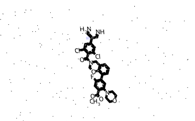 COC(=O)c1cc(F)c(-c2cccc3c2OCN(C(=O)c2c(Cl)cc(/C(C=N)=C/N)cc2Cl)C3)cc1N1CCOCC1